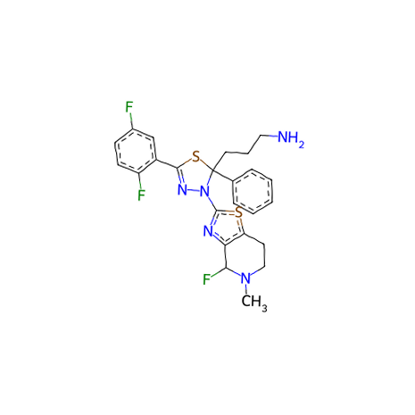 CN1CCc2sc(N3N=C(c4cc(F)ccc4F)SC3(CCCN)c3ccccc3)nc2C1F